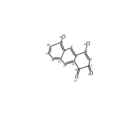 O=C1C=C(Cl)c2cc3c(Cl)cccc3cc2C1=O